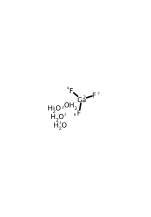 O.O.O.O.[F][Ga]([F])[F]